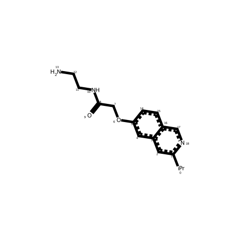 CC(C)c1cc2cc(OCC(=O)NCCN)ccc2cn1